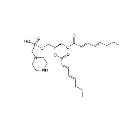 CCCC=CC=CC(=O)OC[C@H](COP(=O)(O)CN1CCNCC1)OC(=O)C=CC=CCCC